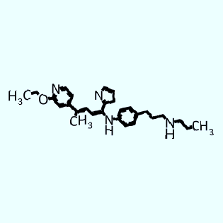 CCCNCCCc1ccc(N/C(=C/C=C(\C)c2ccnc(OCC)c2)C2=NC=CC2)cc1